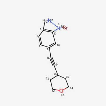 Brn1ncc2ccc(C#CC3CCOCC3)cc21